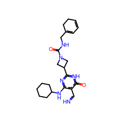 N=Cc1c(NC2CCCCC2)nc(C2CN(C(=O)NCC3=CC=CCC3)C2)[nH]c1=O